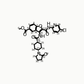 COC(=O)c1ccc2oc(C(=O)Nc3ccc(Cl)cn3)c(NC(=O)[C@H]3CC[C@H](N4CCCC4=O)CC3)c2c1